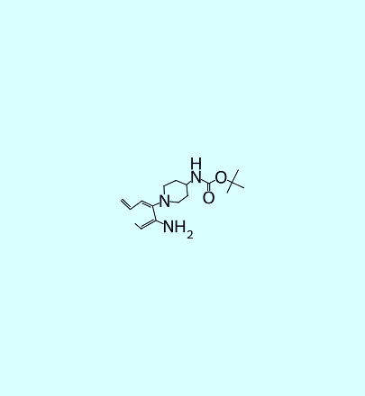 C=C/C=C(\C(N)=C/C)N1CCC(NC(=O)OC(C)(C)C)CC1